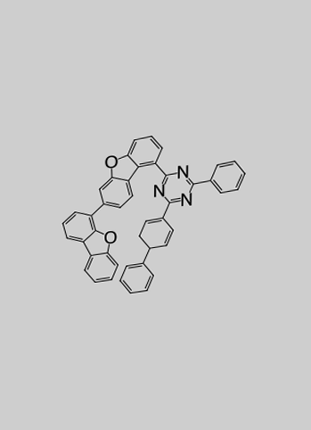 C1=CC(c2ccccc2)CC=C1c1nc(-c2ccccc2)nc(-c2cccc3oc4cc(-c5cccc6c5oc5ccccc56)ccc4c23)n1